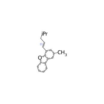 Cc1cc(/C=C/CC(C)C)c2oc3ccccc3c2c1